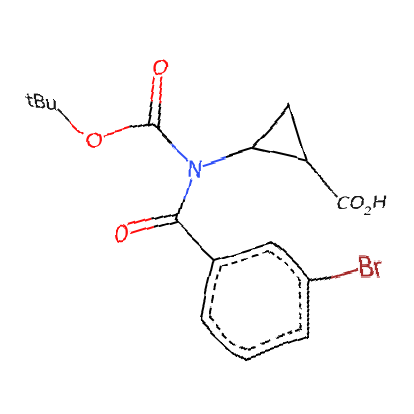 CC(C)(C)OC(=O)N(C(=O)c1cccc(Br)c1)C1CC1C(=O)O